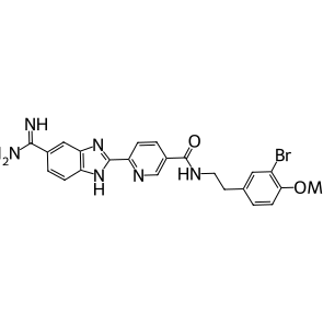 COc1ccc(CCNC(=O)c2ccc(-c3nc4cc(C(=N)N)ccc4[nH]3)nc2)cc1Br